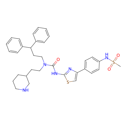 CS(=O)(=O)Nc1ccc(-c2csc(NC(=O)N(CCC3CCCNC3)CCC(c3ccccc3)c3ccccc3)n2)cc1